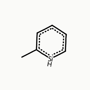 Cc1cccc[siH]1